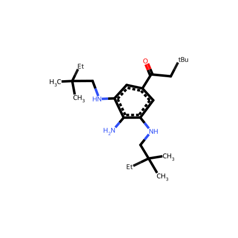 CCC(C)(C)CNc1cc(C(=O)CC(C)(C)C)cc(NCC(C)(C)CC)c1N